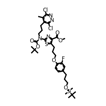 COC(=O)c1nc(N(CCCc2c(Cl)nnc(Cl)c2C)C(=O)OC(C)(C)C)sc1CCCOc1ccc(CCCO[Si](C)(C)C(C)(C)C)cc1F